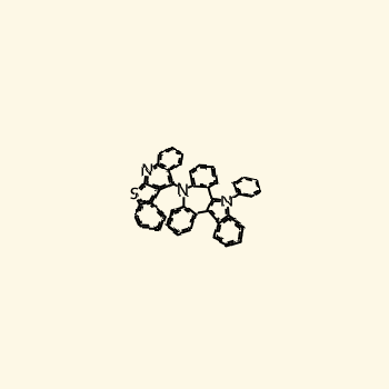 c1ccc(-n2c3c(c4ccccc42)-c2ccccc2N(c2c4ccccc4nc4sc5ccccc5c24)c2ccccc2-3)cc1